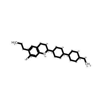 CCCc1cc2c(cc1F)OC(C1CCC(C3CCC(CC)CC3)CC1)CC2